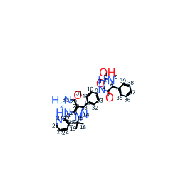 CN(C(=O)O)C(C(=O)Nc1ccc(-c2nn(C(C)(C)C)c(Nc3ccccn3)c2C(N)=O)cc1)c1ccccc1